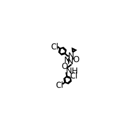 O=C(Cn1nc(-c2ccc(Cl)cc2)n(C2CC2)c1=O)NCc1cc(Cl)ccc1Cl